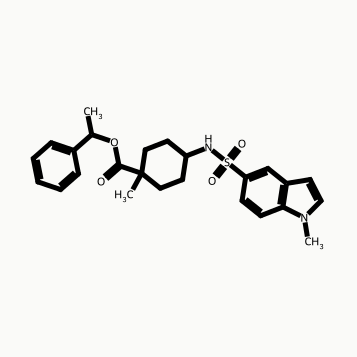 CC(OC(=O)C1(C)CCC(NS(=O)(=O)c2ccc3c(ccn3C)c2)CC1)c1ccccc1